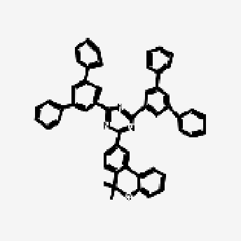 CC1(C)Oc2ccccc2-c2cc(-c3nc(-c4cc(-c5ccccc5)cc(-c5ccccc5)c4)nc(-c4cc(-c5ccccc5)cc(-c5ccccc5)c4)n3)ccc21